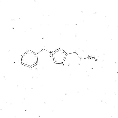 NCCc1cn(Cc2ccccc2)cn1